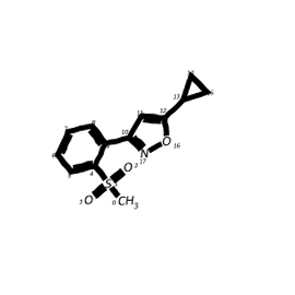 CS(=O)(=O)c1ccccc1-c1[c]c(C2CC2)on1